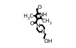 Cc1[nH]c(C=O)c(C)c1C(=O)N1CCN(CCO)CC1